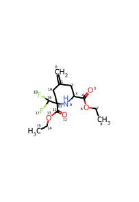 C=C1CC(C(=O)OCC)NC(C(=O)OCC)(C(F)F)C1